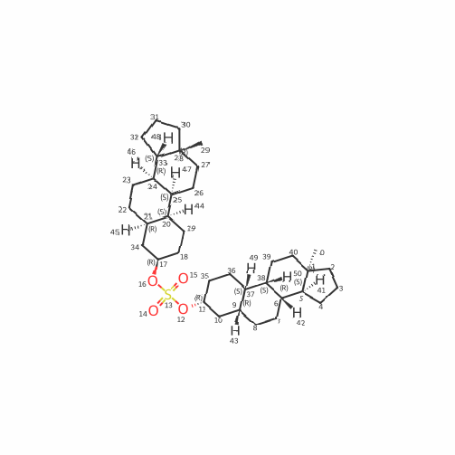 C[C@]12CCC[C@H]1[C@@H]1CC[C@@H]3C[C@H](OS(=O)(=O)O[C@@H]4CC[C@H]5[C@H](CC[C@@H]6[C@H]5CC[C@@]5(C)CCC[C@@H]65)C4)CC[C@@H]3[C@@H]1CC2